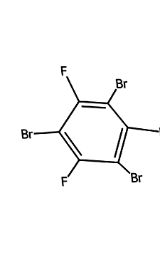 Fc1c(Br)c(F)c(Br)c(F)c1Br